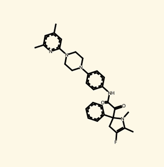 CC1=C(F)CC(C(=O)C(=O)Nc2ccc(N3CCN(c4cc(C)cc(C)n4)CC3)cc2)(c2ccccc2)N1C